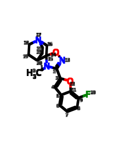 CN1C(c2cc3cccc(F)c3o2)=NOC12CN1CCC2CC1